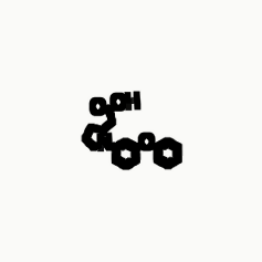 O=C(O)CC1CCCN1c1cccc(Oc2ccccc2)c1